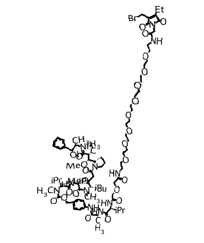 CCC1=C(CBr)C(=O)N(CC(=O)NCCOCCOCCOCCOCCOCCOCCOCCOCCNC(=O)COCC(=O)N[C@H](C(=O)N[C@@H](C)C(=O)Nc2ccc(COC(=O)N(C)[C@H](C(=O)N[C@H](C(=O)N(C)[C@@H]([C@@H](C)CC)[C@@H](CC(=O)N3CCC[C@H]3[C@H](OC)[C@@H](C)C(=O)N[C@H](C)[C@@H](O)c3ccccc3)OC)C(C)C)C(C)C)cc2)C(C)C)C1=O